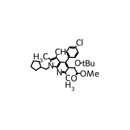 COC(=O)[C@@H](OC(C)(C)C)c1c(C)nc2c(c(C)c(C)n2CC2CCCC2)c1-c1ccc(Cl)cc1